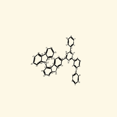 c1ccc(-c2cccc(-c3nc(-c4ccccc4)nc(-c4ccc5c(c4)sc4cccc(-n6c7ccccc7c7ccccc76)c45)n3)c2)cc1